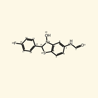 O=CNc1ccc2c(c1)N(O)C(c1ccc(F)cc1)S2